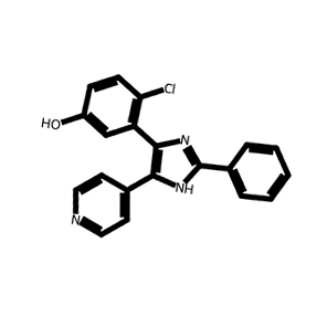 Oc1ccc(Cl)c(-c2nc(-c3ccccc3)[nH]c2-c2ccncc2)c1